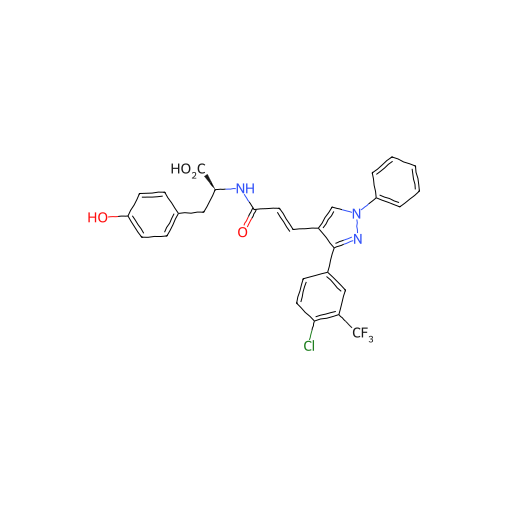 O=C(C=Cc1cn(-c2ccccc2)nc1-c1ccc(Cl)c(C(F)(F)F)c1)N[C@@H](Cc1ccc(O)cc1)C(=O)O